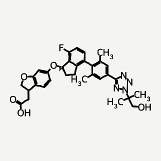 Cc1cc(-c2nnn(C(C)(C)CO)n2)cc(C)c1-c1ccc(F)c2c1CC[C@H]2Oc1ccc2c(c1)OCC2CC(=O)O